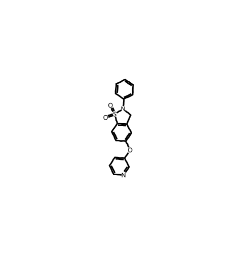 O=S1(=O)c2ccc(Oc3cccnc3)cc2CN1c1ccccc1